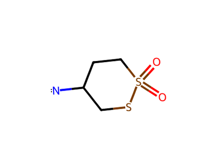 [N]C1CCS(=O)(=O)SC1